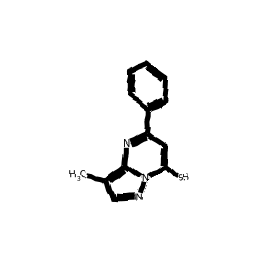 Cc1cnn2c(S)cc(-c3ccccc3)nc12